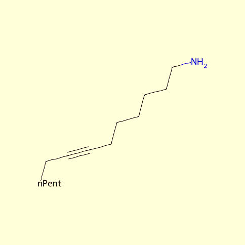 CCCCCCC#CCCCCCCN